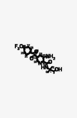 CC(C)(CO)NC(=O)c1ncc(S(=O)(=O)c2ccc(C(F)(F)F)cc2)cc1N